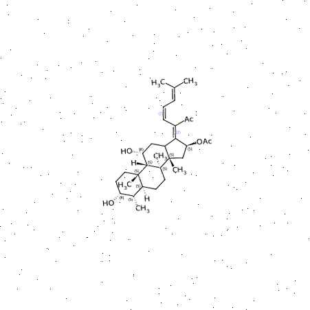 CC(=O)O[C@H]1C[C@@]2(C)C(C[C@@H](O)[C@H]3[C@@]4(C)CC[C@@H](O)[C@@H](C)[C@@H]4CC[C@@]32C)/C1=C(\C=C/C=C(C)C)C(C)=O